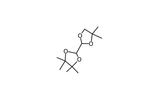 CC1(C)COC(C2OC(C)(C)C(C)(C)O2)O1